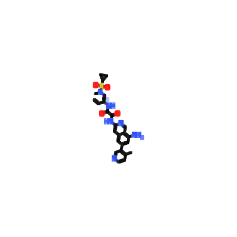 C=C/C(=C\N(C)S(=O)(=O)C1CC1)NC(=O)C(=O)Nc1cc2cc(-c3cnccc3C)cc(N)c2cn1